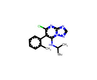 Cc1ccccc1-c1c(Cl)nc2ncnn2c1NC(C)C(C)(C)C